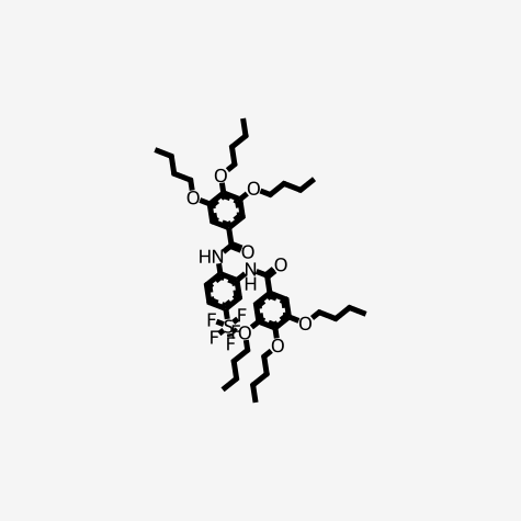 CCCCOc1cc(C(=O)Nc2ccc(S(F)(F)(F)(F)F)cc2NC(=O)c2cc(OCCCC)c(OCCCC)c(OCCCC)c2)cc(OCCCC)c1OCCCC